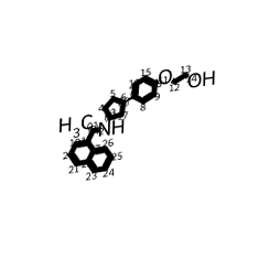 C[C@@H](N[C@H]1CC[C@@H](c2ccc(OCCO)cc2)C1)c1cccc2ccccc12